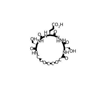 O=C(O)CC[C@@H]1NC(=O)N[C@@H](CO)C(=O)NCCOCCOCC(=O)N[C@@H](CO)C(=O)NNC1=O